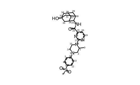 CC1CN(c2ccc(S(C)(=O)=O)cc2)CCN1c1nccc(C(=O)NC2C3CC4CC2CC(O)(C4)C3)n1